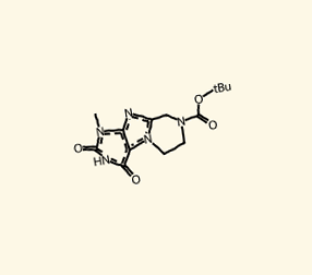 Cn1c(=O)[nH]c(=O)c2c1nc1n2CCN(C(=O)OC(C)(C)C)C1